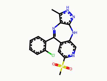 Cc1[nH]nc2c1N=C(c1ccccc1Cl)c1cc(S(C)(=O)=O)ncc1N2